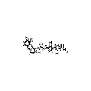 CC1NN=C(C2=CSC(SCC(=O)NC[C@H]3CN(CC4C=C(F)C(F)=CC4)CCO3)N2)N1